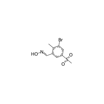 Cc1c(Br)cc(S(C)(=O)=O)cc1C=NO